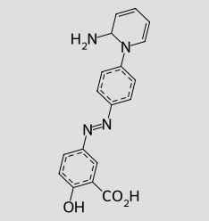 NC1C=CC=CN1c1ccc(N=Nc2ccc(O)c(C(=O)O)c2)cc1